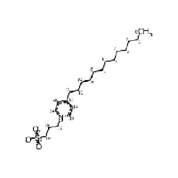 CCCCCCCCCCCCCc1cc[n+](CCCS(=O)(=O)[O-])cc1